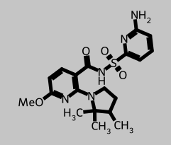 COc1ccc(C(=O)NS(=O)(=O)c2cccc(N)n2)c(N2CCC(C)C2(C)C)n1